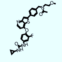 COCCN(Cc1ccc(-c2cc3nccc(Oc4ccc(NC(=O)NC5CC5)cc4F)c3s2)cc1)C(C)=O